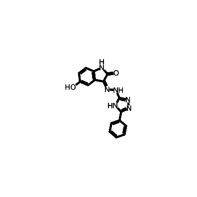 O=C1Nc2ccc(O)cc2/C1=N/Nc1nnc(-c2ccccc2)[nH]1